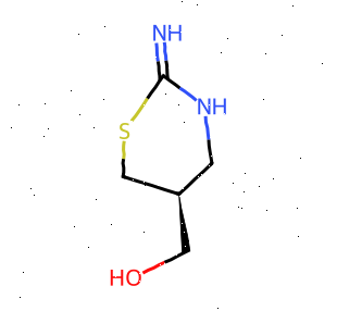 N=C1NC[C@@H](CO)CS1